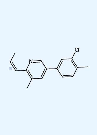 C/C=C\c1ncc(-c2ccc(C)c(Cl)c2)cc1C